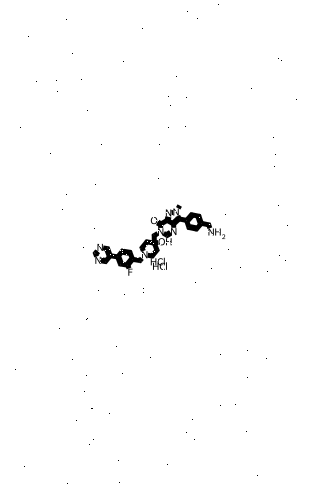 Cl.Cl.Cn1nc2c(=O)n(CC3(O)CCN(Cc4ccc(-c5cncnc5)cc4F)CC3)cnc2c1-c1ccc(CN)cc1